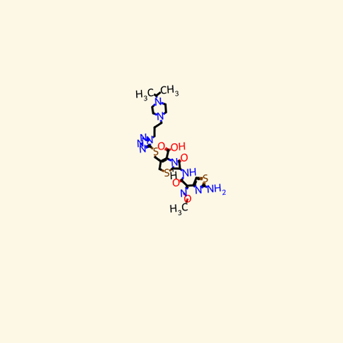 CO/N=C(/C(=O)NC1C(=O)N2C(C(=O)O)=C(CSc3nnnn3CCCN3CCN(C(C)C)CC3)CS[C@H]12)c1csc(N)n1